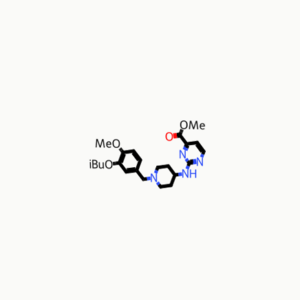 COC(=O)c1ccnc(NC2CCN(Cc3ccc(OC)c(OCC(C)C)c3)CC2)n1